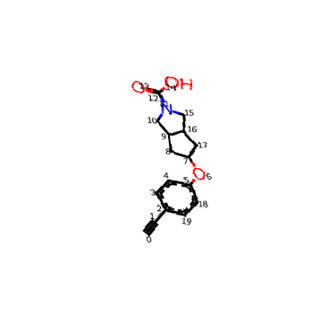 C#Cc1ccc(OC2CC3CN(C(=O)O)CC3C2)cc1